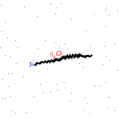 CCCCCCCCCCCCCCCCCCCCCCCCCCCCN(C)C.O